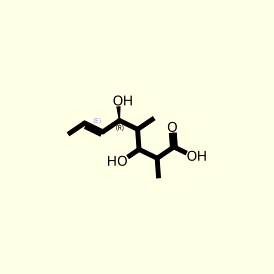 C/C=C/[C@@H](O)C(C)C(O)C(C)C(=O)O